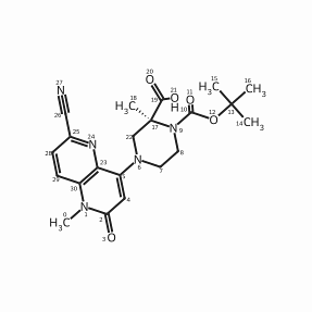 Cn1c(=O)cc(N2CCN(C(=O)OC(C)(C)C)[C@](C)(C(=O)O)C2)c2nc(C#N)ccc21